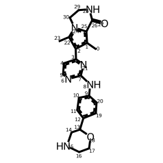 Cc1c(-c2ccnc(Nc3ccc(C4CNCCO4)cc3)n2)c(C)n2c1C(=O)NCC2